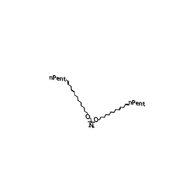 CCCCCC=CCC=CCCCCCCCCOCC(C)(COCCCCCCCCC=CCC=CCCCCC)N(C)C